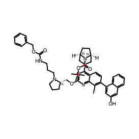 CC(C)(C)OC(=O)N1[C@@H]2CC[C@H]1CN(c1nc(OC[C@@H]3CCCN3CCCNC(=O)OCc3ccccc3)nc3c(F)c(-c4cc(O)cc5ccccc45)ccc13)C2